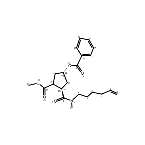 C=CCCCCN(C)C(=O)[C@@H]1C[C@@H](OC(=O)c2ccccc2)CC1C(=O)OC